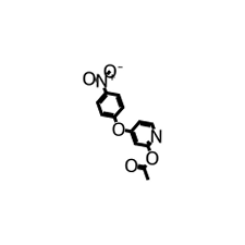 CC(=O)Oc1cc(Oc2ccc([N+](=O)[O-])cc2)ccn1